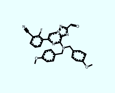 COc1ccc(CN(Cc2ccc(OC)cc2)c2nc(-c3cccc(C#N)c3F)cn3nc(C=O)nc23)cc1